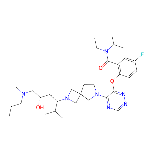 CCCN(C)C[C@@H](O)C[C@@H](C(C)C)N1CC2(CCN(c3ncnnc3Oc3ccc(F)cc3C(=O)N(CC)C(C)C)C2)C1